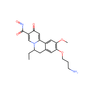 CCC1Cc2cc(OCCCN)c(OC)cc2-c2cc(=O)c(C(=O)N=O)cn21